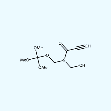 C#CC(=O)N(CO)COC(OC)(OC)OC